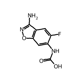 Nc1noc2cc(NC(=O)O)c(F)cc12